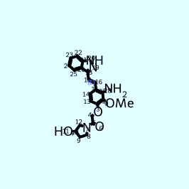 COc1c(OCC(=O)N2CC[C@@H](O)C2)ccc(/C=C/c2n[nH]c3ccccc23)c1N